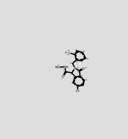 CC(C)(C)NC(=O)C1c2cc(Cl)ccc2C(=O)N1Cc1ccccc1C(F)(F)F